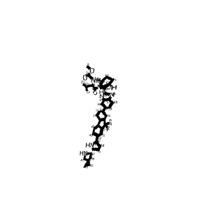 COC(=O)N[C@H](C(=O)N1[C@@H]2CC[C@@H](C2)[C@H]1c1nc2ccc(-c3ccc4c(c3)C(F)(F)c3cc(-c5ccc([C@@H]6CC7(CC7)CN6)[nH]5)ccc3-4)cc2[nH]1)C(C)C